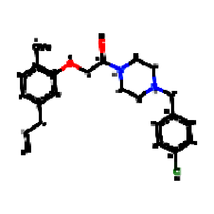 C=CCc1ccc(OC)c(OCC(=O)N2CCN(Cc3ccc(Cl)cc3)CC2)c1